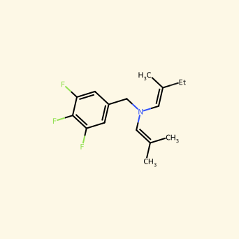 CC/C(C)=C/N(C=C(C)C)Cc1cc(F)c(F)c(F)c1